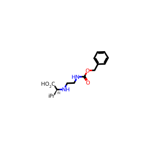 CC(C)[C@H](NCCNC(=O)OCc1ccccc1)C(=O)O